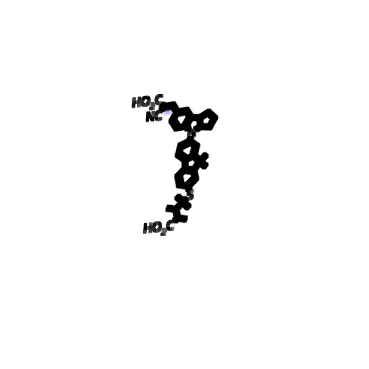 CC(C(=O)O)C(C)C(C)(C)Sc1ccc2c(c1)C(C)(C)c1cc(N3c4ccc(/C=C(\C#N)C(=O)O)cc4C4CCCC43)ccc1-2